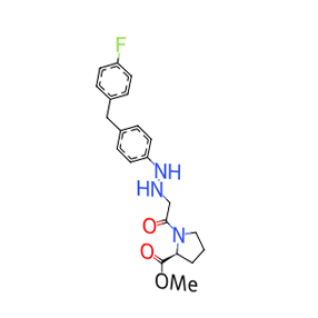 COC(=O)[C@@H]1CCCN1C(=O)CNNc1ccc(Cc2ccc(F)cc2)cc1